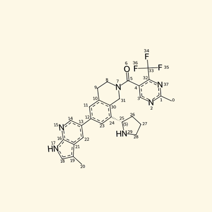 Cc1ncc(C(=O)N2CCc3cc(-c4cnc5[nH]cc(C)c5c4)cc([C@@H]4CCCN4)c3C2)c(C(F)(F)F)n1